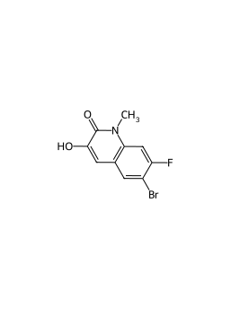 Cn1c(=O)c(O)cc2cc(Br)c(F)cc21